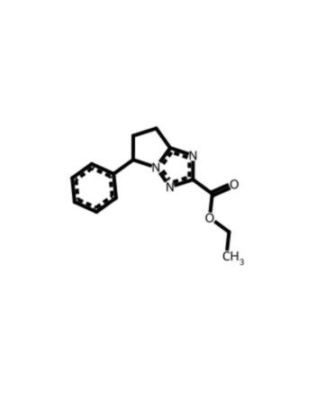 CCOC(=O)c1nc2n(n1)C(c1ccccc1)CC2